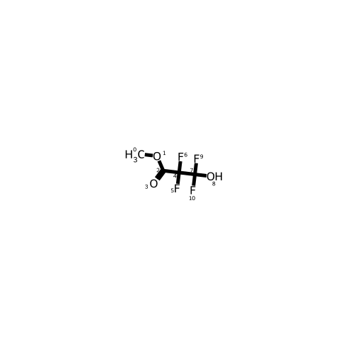 COC(=O)C(F)(F)C(O)(F)F